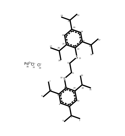 CC(C)c1cc(C(C)C)c(SCCSc2c(C(C)C)cc(C(C)C)cc2C(C)C)c(C(C)C)c1.[Cl-].[Cl-].[Pd+2]